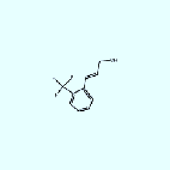 OC/C=C/c1ccccc1C(F)(F)F